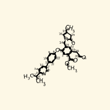 COC(=O)c1cc(Oc2ccc(-c3ccc(C(C)C)nn3)cc2)c(CN2CC(C)CC2=O)cc1CC=O